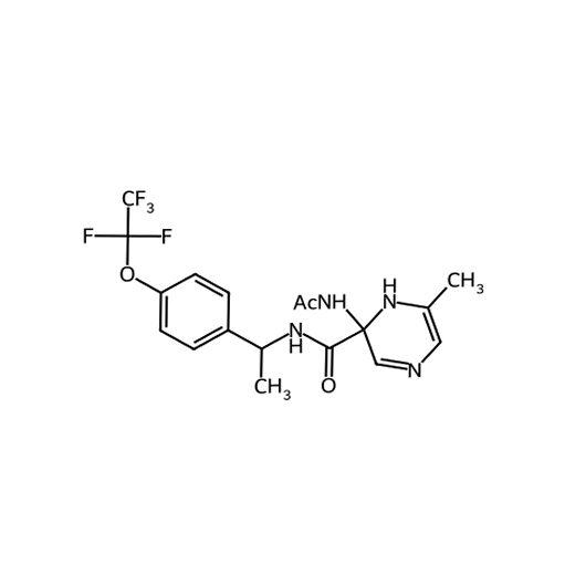 CC(=O)NC1(C(=O)NC(C)c2ccc(OC(F)(F)C(F)(F)F)cc2)C=NC=C(C)N1